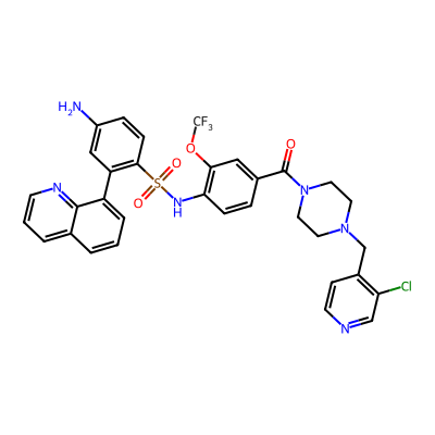 Nc1ccc(S(=O)(=O)Nc2ccc(C(=O)N3CCN(Cc4ccncc4Cl)CC3)cc2OC(F)(F)F)c(-c2cccc3cccnc23)c1